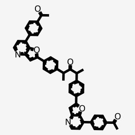 CC(=O)c1ccc(-c2ccnc3cc(-c4ccc(C(C)C(=O)C(C)c5ccc(-c6cc7nccc(-c8ccc(C(C)=O)cc8)c7o6)cc5)cc4)oc23)cc1